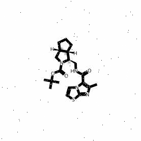 Cc1nc2sccn2c1C(=O)NC[C@@H]1[C@H]2CCC[C@H]2CN1C(=O)OC(C)(C)C